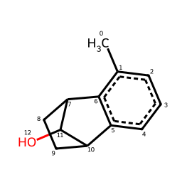 Cc1cccc2c1C1CCC2C1O